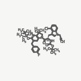 C#CCn1cc(C[C@H](NC(=O)OC(C)(C)C)C(=O)N2CC(C)(C)c3nc(O[Si](C)(C)C(C)(C)C)c(Cc4ccc(F)cc4)cc32)c2c(Cl)cccc21